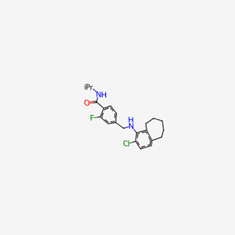 CC(C)NC(=O)c1ccc(CNc2c(Cl)ccc3c2CCCCC3)cc1F